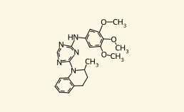 COc1cc(Nc2ncnc(N3c4ccccc4CCC3C)n2)cc(OC)c1OC